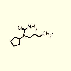 [CH2]CCCN(C(N)=O)C1CCCC1